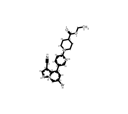 CCOC(=O)C1CCN(c2ccc(-c3cc(Br)cn4ncc(C#N)c34)cn2)CC1